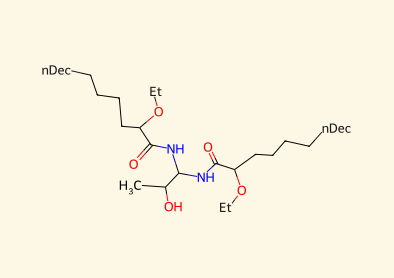 CCCCCCCCCCCCCCC(OCC)C(=O)NC(NC(=O)C(CCCCCCCCCCCCCC)OCC)C(C)O